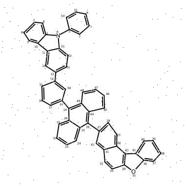 c1ccc(-n2c3ccccc3c3cc(-c4cccc(-c5c6ccccc6c(-c6ccc7c(ccc8oc9ccccc9c87)c6)c6ccccc56)c4)ccc32)cc1